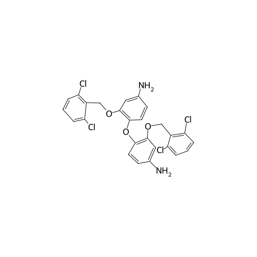 Nc1ccc(Oc2ccc(N)cc2OCc2c(Cl)cccc2Cl)c(OCc2c(Cl)cccc2Cl)c1